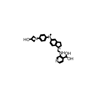 CN(c1ccc(N2CC(O)C2)cc1)c1ccc2c(c1)CC[C@H]2CNc1cnccc1C(O)O